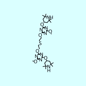 COc1nc(OCCSCCOc2nc(OC)nc(OC3CC(C)(C)NC(C)(C)C3)n2)nc(OC2CC(C)(C)NC(C)(C)C2)n1